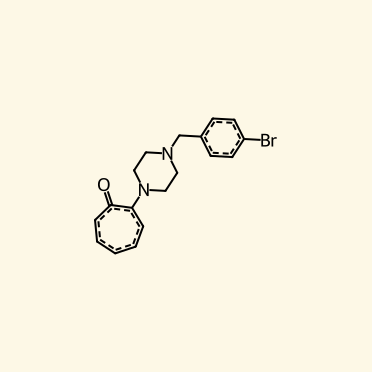 O=c1cccccc1N1CCN(Cc2ccc(Br)cc2)CC1